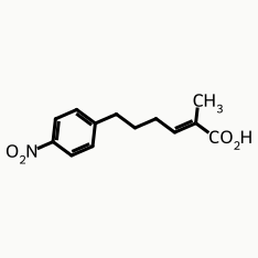 CC(=CCCCc1ccc([N+](=O)[O-])cc1)C(=O)O